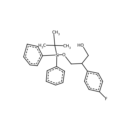 CC(C)(C)[Si](OCC(CO)c1ccc(F)cc1)(c1ccccc1)c1ccccc1